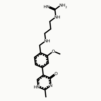 COc1cc(-c2c[nH]c(C)nc2=O)ccc1CNCCCNC(=N)N